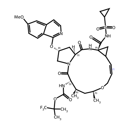 COc1ccc2c(O[C@@H]3C[C@H]4C(=O)N[C@]5(C(=O)NS(=O)(=O)C6CC6)CC5/C=C\CO[C@@H](C)C[C@@H](C)[C@H](NC(=O)OC(C)(C)C(F)(F)F)C(=O)N4C3)nccc2c1